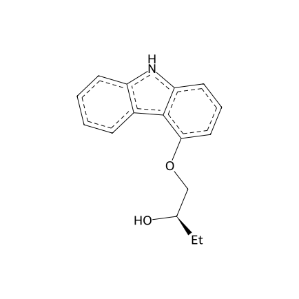 CC[C@@H](O)COc1cccc2[nH]c3ccccc3c12